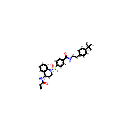 C=CC(=O)NC1CCN(S(=O)(=O)c2ccc(C(=O)NCCc3ccc(C(C)(C)C)cc3)cc2)c2ccccc21